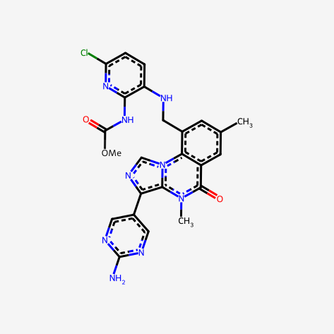 COC(=O)Nc1nc(Cl)ccc1NCc1cc(C)cc2c(=O)n(C)c3c(-c4cnc(N)nc4)ncn3c12